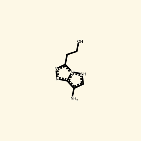 Nc1c[nH]n2c(CCO)nnc12